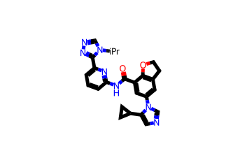 CC(C)n1cnnc1-c1cccc(NC(=O)c2cc(-n3cncc3C3CC3)cc3c2OCC3)n1